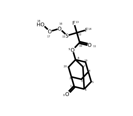 O=C1C2CC3CC1CC(OC(=O)C(F)(F)SOOO)(C3)C2